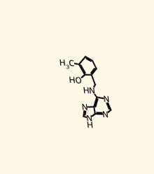 Cc1cccc(CNc2ncnc3[nH]cnc23)c1O